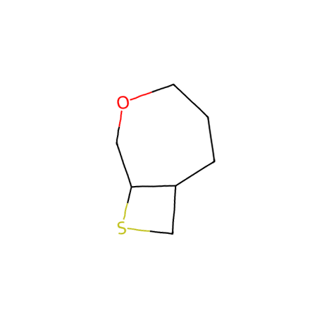 C1COCC2SCC2C1